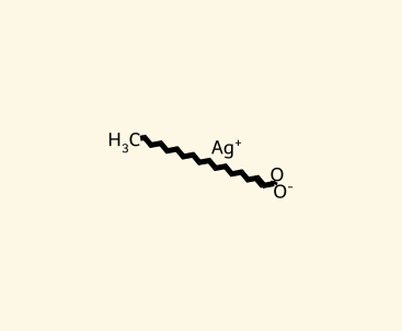 CCCCCCCCCCCCCCCC=CC(=O)[O-].[Ag+]